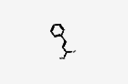 CCCCC(C=Cc1ccccc1)CCC